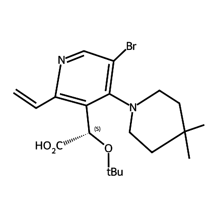 C=Cc1ncc(Br)c(N2CCC(C)(C)CC2)c1[C@H](OC(C)(C)C)C(=O)O